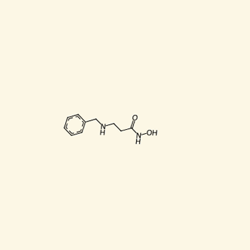 O=C(CCNCc1ccccc1)NO